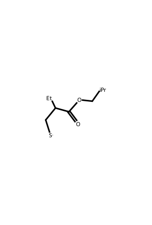 CCC(C[S])C(=O)OCC(C)C